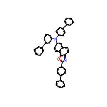 c1ccc(-c2ccc(-c3nc4ccc5cc(N(c6ccc(-c7ccccc7)cc6)c6cccc(-c7ccccc7)c6)ccc5c4o3)cc2)cc1